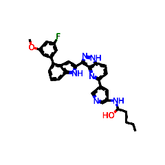 CCCCC(O)Nc1cncc(-c2ccc3[nH]nc(-c4cc5c(-c6cc(F)cc(OC)c6)cccc5[nH]4)c3n2)c1